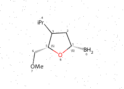 B[C@H]1CC(C(C)C)[C@@H](COC)O1